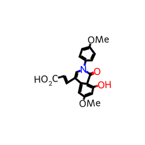 COc1ccc(-n2cc(C=CC(=O)O)c3cc(OC)cc(O)c3c2=O)cc1